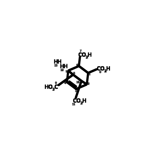 O=C(O)C1C2C=CC(C1C(=O)O)C(C(=O)O)C2C(=O)O.[HH].[HH]